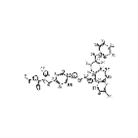 CCOC(=O)C(Cc1ccc(OCCOC2c3ccc(C)cc3C=Cc3cc(Cc4ccccc4)ccc32)cc1)OC